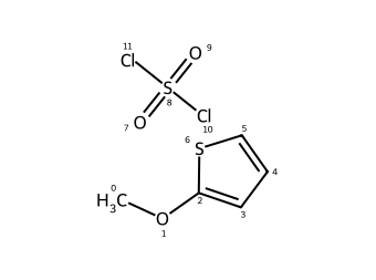 COc1cccs1.O=S(=O)(Cl)Cl